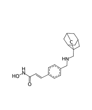 O=C(C=Cc1ccc(CNCC23CC4CC(CC2C4)C3)cc1)NO